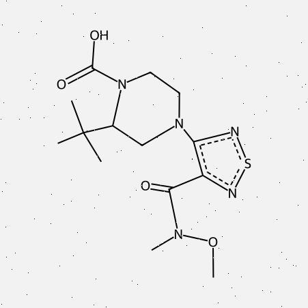 CON(C)C(=O)c1nsnc1N1CCN(C(=O)O)C(C(C)(C)C)C1